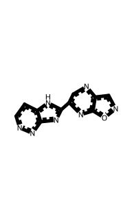 c1cc2[nH]c(-c3cnc4cnoc4n3)nc2nn1